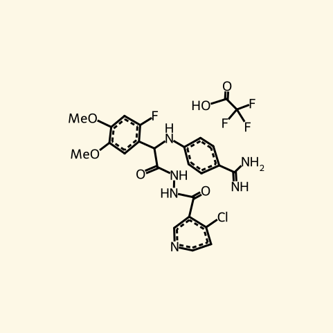 COc1cc(F)c(C(Nc2ccc(C(=N)N)cc2)C(=O)NNC(=O)c2cnccc2Cl)cc1OC.O=C(O)C(F)(F)F